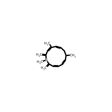 C=C1/C=C\C=C/C(C)C/C=C\C(C)=C/C(=C)N1C